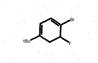 CC(C)(C)C1=CC=C(Br)C(F)C1